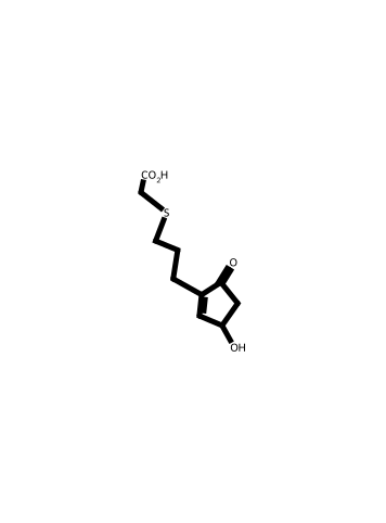 O=C(O)CSCCCC1=CC(O)CC1=O